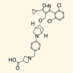 O=C(O)C1CN(Cc2ccc(N3C[C@@H]4C[C@H]3C[C@H]4OCc3c(-c4c(Cl)cccc4Cl)noc3C3=CC3)cc2)C1